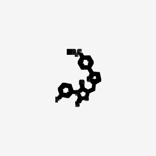 O=C(O)c1ccc(-c2ccc(CC3SC(=S)N(c4cccc(F)c4)C3=O)o2)cc1